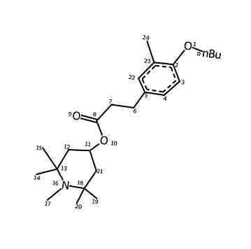 CCCCOc1ccc(CCC(=O)OC2CC(C)(C)N(C)C(C)(C)C2)cc1C